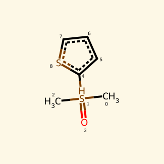 C[SH](C)(=O)c1cccs1